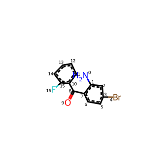 Nc1cc(Br)ccc1C(=O)c1ccccc1F